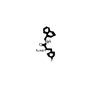 CC(=O)N[C@@H](Cc1ccc(F)cc1)C(=O)NCc1cccc2ccccc12